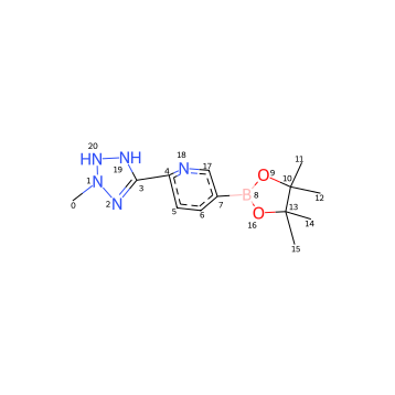 CN1N=C(c2ccc(B3OC(C)(C)C(C)(C)O3)cn2)NN1